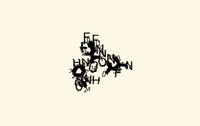 Cc1c(Oc2nnc(C(F)(F)F)c(C)c2C(=O)Nc2cccc(S(C)(=N)=O)c2)ncc(C#N)c1F